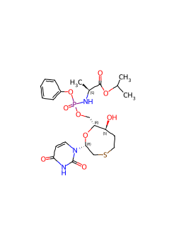 CC(C)OC(=O)[C@H](C)NP(=O)(OC[C@H]1O[C@@H](n2ccc(=O)[nH]c2=O)CSCC[C@@H]1O)Oc1ccccc1